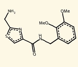 COc1cccc(CNC(=O)c2csc(CN)n2)c1OC